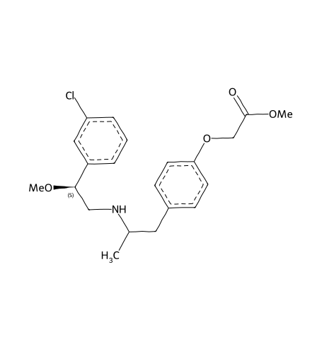 COC(=O)COc1ccc(CC(C)NC[C@@H](OC)c2cccc(Cl)c2)cc1